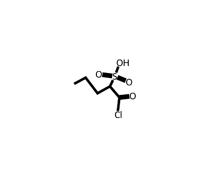 CCCC(C(=O)Cl)S(=O)(=O)O